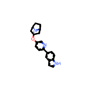 CN1C2CCC1CC(Oc1ccc(-c3ccc4[nH]ccc4c3)nc1)C2